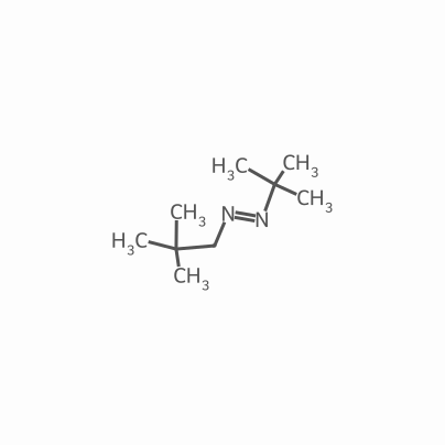 CC(C)(C)C/N=N/C(C)(C)C